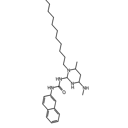 CCCCCCCCCCCN1C(C)CC(NC)NC1NC(=O)Nc1ccc2ccccc2c1